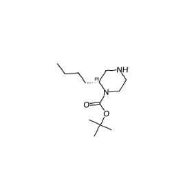 CCCC[C@@H]1CNCCN1C(=O)OC(C)(C)C